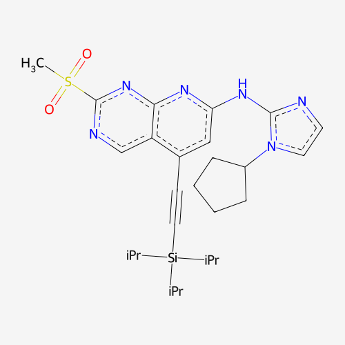 CC(C)[Si](C#Cc1cc(Nc2nccn2C2CCCC2)nc2nc(S(C)(=O)=O)ncc12)(C(C)C)C(C)C